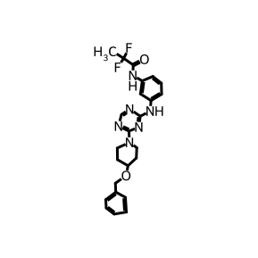 CC(F)(F)C(=O)Nc1cccc(Nc2ncnc(N3CCC(OCc4ccccc4)CC3)n2)c1